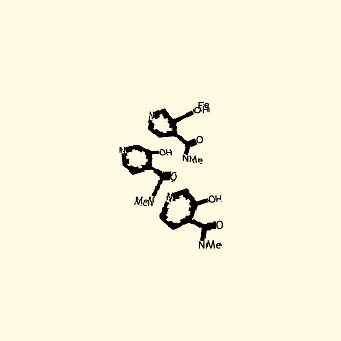 CNC(=O)c1ccncc1O.CNC(=O)c1ccncc1O.CNC(=O)c1ccncc1O.[Fe]